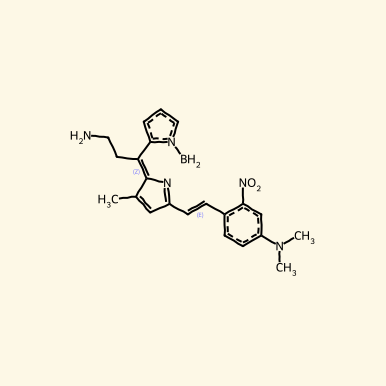 Bn1cccc1/C(CCN)=C1N=C(/C=C/c2ccc(N(C)C)cc2[N+](=O)[O-])C=C\1C